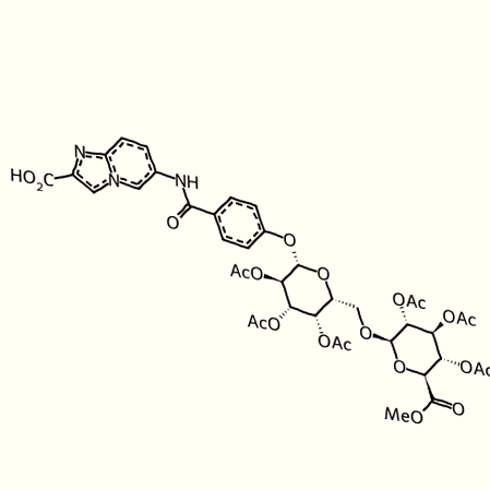 COC(=O)[C@H]1O[C@@H](OC[C@H]2O[C@@H](Oc3ccc(C(=O)Nc4ccc5nc(C(=O)O)cn5c4)cc3)[C@H](OC(C)=O)[C@@H](OC(C)=O)[C@H]2OC(C)=O)[C@H](OC(C)=O)[C@@H](OC(C)=O)[C@@H]1OC(C)=O